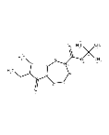 CCC(CC)C(=O)N1CCCN(C(=O)OC(C)(C)C)CC1